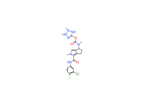 CN1NN=C(OC(=O)N(C)C2CCc3c2cn(C)c3C(=O)Nc2ccc(F)c(Cl)c2)N1